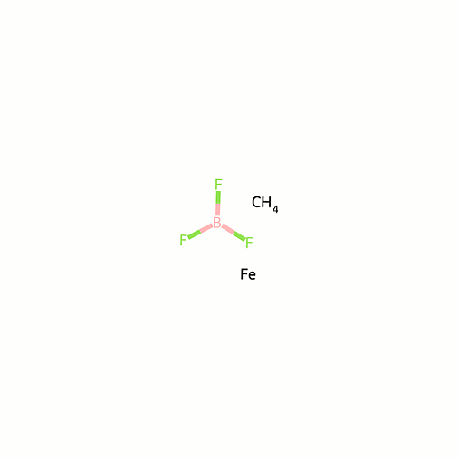 C.FB(F)F.[Fe]